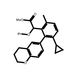 COC(=O)C(OC(C)C)c1c(C)ccc(C2CC2)c1-c1ccc2c(c1)CCCO2